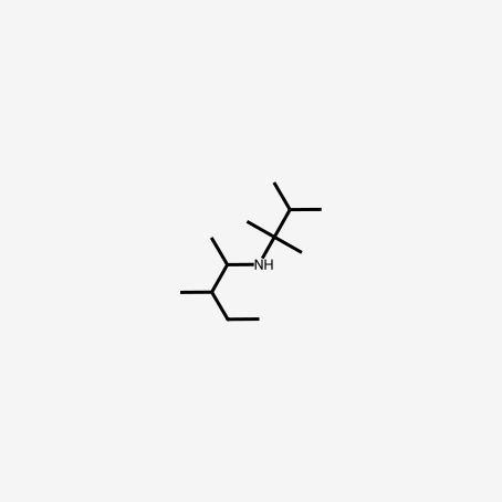 CCC(C)C(C)NC(C)(C)C(C)C